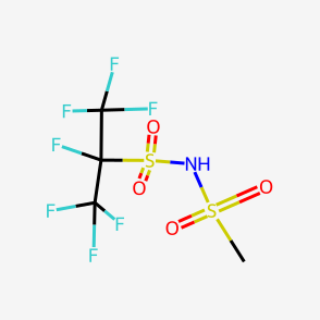 CS(=O)(=O)NS(=O)(=O)C(F)(C(F)(F)F)C(F)(F)F